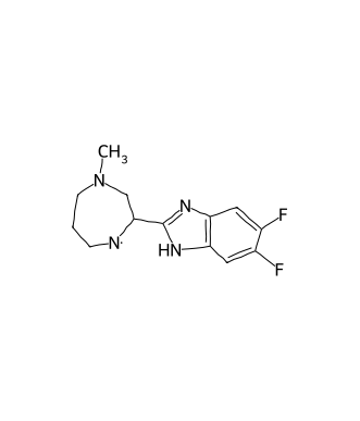 CN1CCC[N]C(c2nc3cc(F)c(F)cc3[nH]2)C1